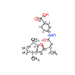 C/C(=C/C(=O)Nc1ccc(C(=O)O)cc1)c1cc(C(C)C)c(C(C)C)o1